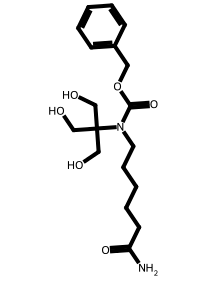 NC(=O)CCCCCN(C(=O)OCc1ccccc1)C(CO)(CO)CO